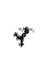 Cc1ccc(C2CCN(c3cc(C(=O)NCC(F)(F)F)nc(OCC4CC4(F)F)n3)CC2)nc1C(N)=O